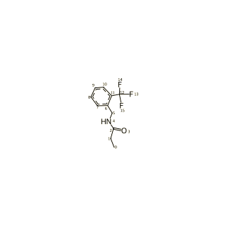 CCC(=O)NCc1ccccc1C(F)(F)F